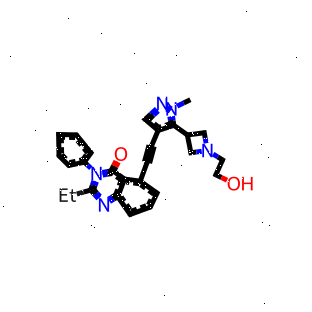 CCc1nc2cccc(C#Cc3cnn(C)c3C3CN(CCO)C3)c2c(=O)n1-c1ccccc1